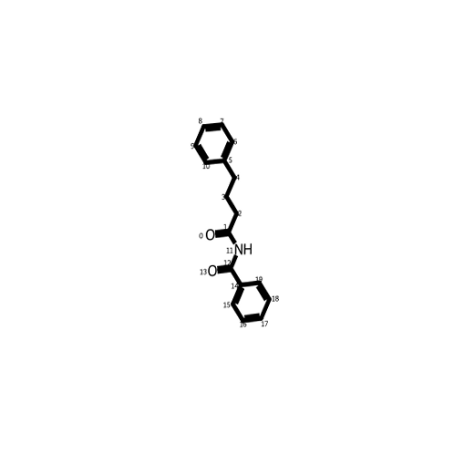 O=C(CCCc1ccccc1)NC(=O)c1ccccc1